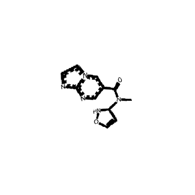 CN(C(=O)c1cnc2nccn2c1)C1C=CON1